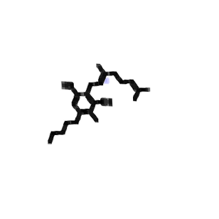 CCCCCc1cc(O)c(C/C=C(\C)CCC=C(C)C)c(O)c1C